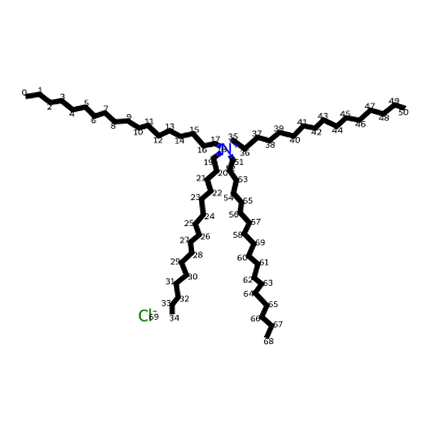 CCCCCCCCCCCCCCCCCC[N+](CCCCCCCCCCCCCCCC)(CCCCCCCCCCCCCCCC)CCCCCCCCCCCCCCCCCC.[Cl-]